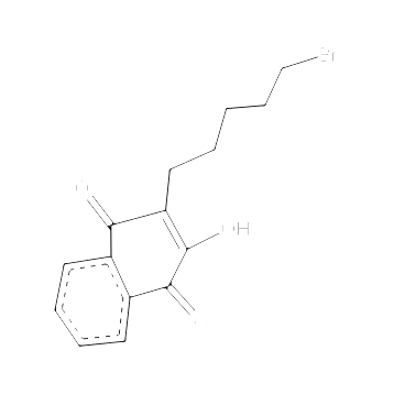 O=C1C(O)=C(CCCCCBr)C(=O)c2ccccc21